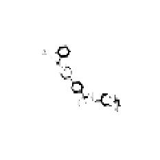 CC(=O)c1ccccc1C(=O)N1CCC(c2ccc(C(=O)NCc3ccn4ccnc4c3)cc2)CC1